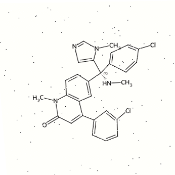 CN[C@](c1ccc(Cl)cc1)(c1ccc2c(c1)c(-c1cccc(Cl)c1)cc(=O)n2C)c1cncn1C